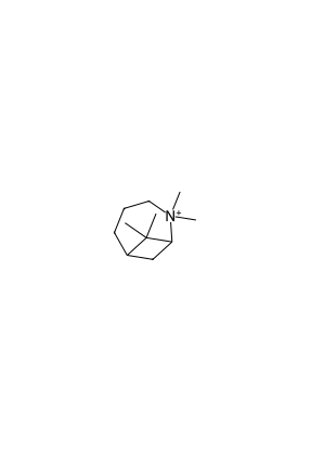 CC1(C)C2CCC[N+](C)(C)C1C2